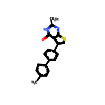 CCOC(=O)c1nc2scc(-c3ccc(-c4ccc(C)cc4)cc3)c2c(=O)[nH]1